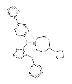 c1ccc(Cn2cnnc2C(c2ccc(-n3cccn3)cc2)N2CCCN(C3CCC3)CC2)cc1